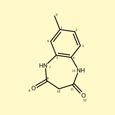 Cc1ccc2c(c1)NC(=O)CC(=O)N2